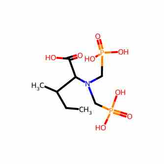 CCC(C)C(C(=O)O)N(CP(=O)(O)O)CP(=O)(O)O